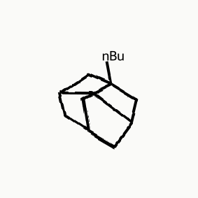 CC[CH]CC12CC3CC(CC(C3)C1)C2